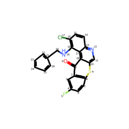 O=c1c2cc(F)ccc2sc2cnc3ccc(Cl)c(NCc4ccccc4)c3c12